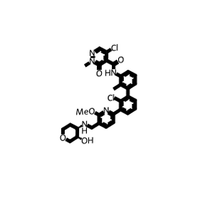 COc1nc(-c2cccc(-c3cccc(NC(=O)c4c(Cl)cnn(C)c4=O)c3C)c2Cl)ccc1CN[C@@H]1CCOC[C@@H]1O